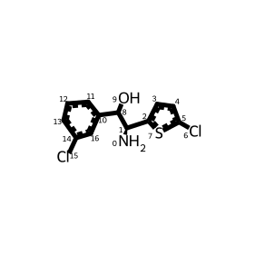 N[C@H](c1ccc(Cl)s1)C(O)c1cccc(Cl)c1